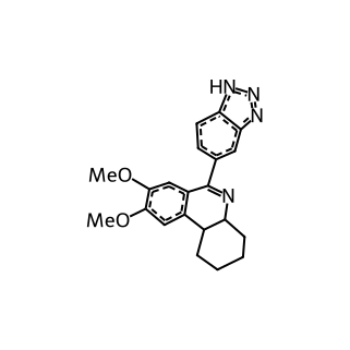 COc1cc2c(cc1OC)C1CCCCC1N=C2c1ccc2[nH]nnc2c1